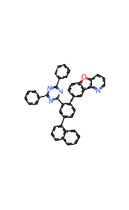 c1ccc(-c2nc(-c3ccccc3)nc(-c3cc(-c4cccc5ccccc45)ccc3-c3ccc4oc5cccnc5c4c3)n2)cc1